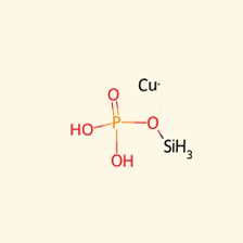 O=P(O)(O)O[SiH3].[Cu]